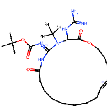 [2H]C([2H])([2H])N1/C(=N/C(=O)OC(C)(C)C)NC(=O)CCCCCCC/C=C/CCCOC(=O)C1NC(=N)N